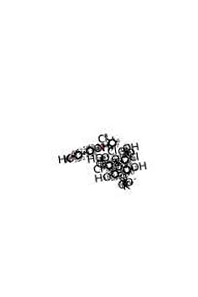 N#Cc1c(Cl)cccc1Cl.O=C([O-])[O-].O=S(=O)(O)c1cc(S(=O)(=O)c2ccc(Cl)c(S(=O)(=O)O)c2)ccc1Cl.Oc1ccc(-c2ccc(O)cc2)cc1.Oc1ccc(-c2ccc(O)cc2)cc1.[K+].[K+]